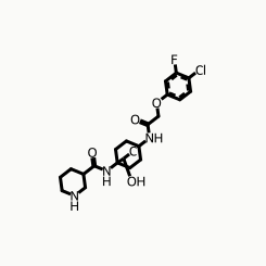 O=C(COc1ccc(Cl)c(F)c1)NC12CCC(NC(=O)C3CCCNC3)(CC1)C(O)C2